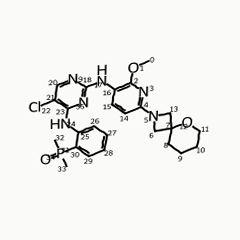 COc1nc(N2CC3(CCCCO3)C2)ccc1Nc1ncc(Cl)c(Nc2ccccc2P(C)(C)=O)n1